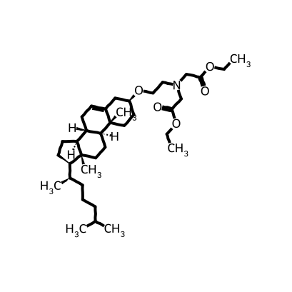 CCOC(=O)CN(CCO[C@H]1CC[C@@]2(C)C(=CC[C@H]3[C@@H]4CC[C@H]([C@H](C)CCCC(C)C)[C@@]4(C)CC[C@@H]32)C1)CC(=O)OCC